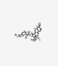 COc1ccnc(NC(=O)CC[C@@H]2C/C(=N\O)[C@@]3(C)CCC4c5ccc(Cl)cc5CCC4C23)c1